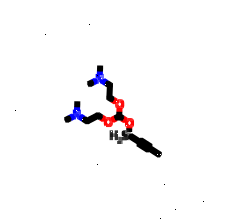 CC#C[SiH2]OC(OCCN(C)C)OCCN(C)C